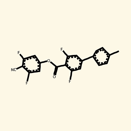 Cc1ccc(-c2cc(F)c(C(=O)Oc3cc(F)c(C#N)c(F)c3)c(F)c2)cc1